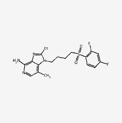 CCc1nc2c(N)ncc(C)c2n1CCCCS(=O)(=O)c1ccc(F)cc1F